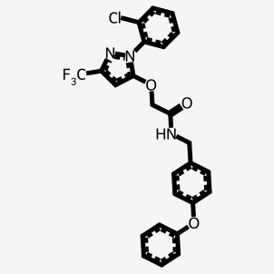 O=C(COc1cc(C(F)(F)F)nn1-c1ccccc1Cl)NCc1ccc(Oc2ccccc2)cc1